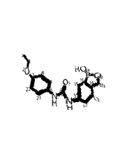 CCOc1ccc(NC(=O)Nc2ccc3c(c2)B(O)OC3)cc1